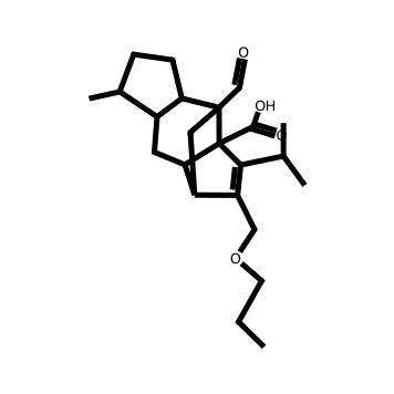 CCCOCC1=C(C(C)C)C2(C(=O)O)C3CC4C(C)CCC4C2(C=O)CC13